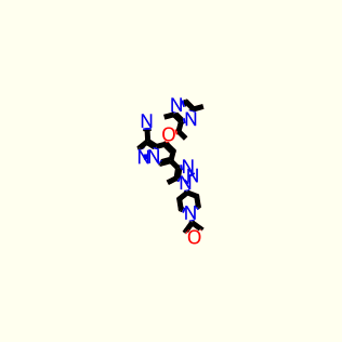 Cc1cnc(C)c(C(C)Oc2cc(-c3nnn(C4CCN(C5COC5)CC4)c3C)cn3ncc(C#N)c23)n1